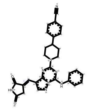 N#Cc1ccc(C2CCN(c3nc(Nc4ccccc4)n4ncc(/C=C5\CC(=O)NC5=O)c4n3)CC2)cc1